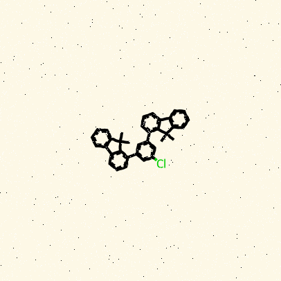 CC1(C)c2ccccc2-c2cccc(-c3cc(Cl)cc(-c4cccc5c4C(C)(C)c4ccccc4-5)c3)c21